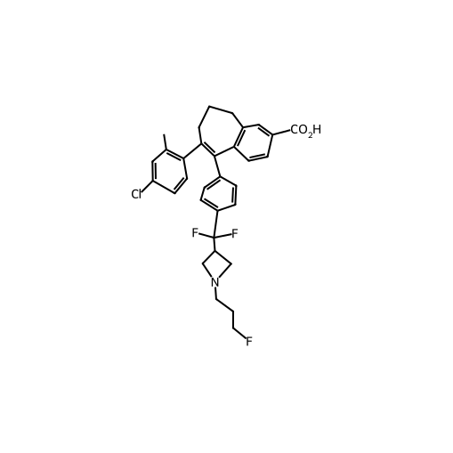 Cc1cc(Cl)ccc1C1=C(c2ccc(C(F)(F)C3CN(CCCF)C3)cc2)c2ccc(C(=O)O)cc2CCC1